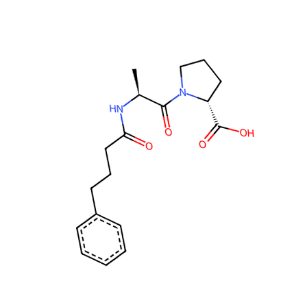 C[C@H](NC(=O)CCCc1ccccc1)C(=O)N1CCC[C@@H]1C(=O)O